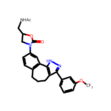 CC(=O)NCC1CN(c2ccc3c(c2)-c2[nH]nc(-c4cccc(OC(F)(F)F)c4)c2CCC3)C(=O)O1